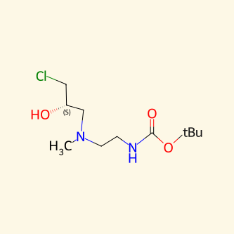 CN(CCNC(=O)OC(C)(C)C)C[C@H](O)CCl